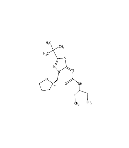 CCC(CC)NC(=O)N=c1sc(C(C)(C)C)nn1C[C@H]1CCCO1